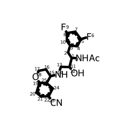 CC(=O)NC(Cc1cc(F)cc(F)c1)C(O)CNC1CCOc2ccc(C#N)cc21